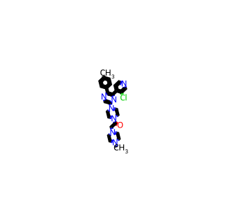 Cc1ccc(-c2ncc(N3CCN(C(=O)CN4CCN(C)CC4)CC3)nc2-c2ccncc2Cl)cc1